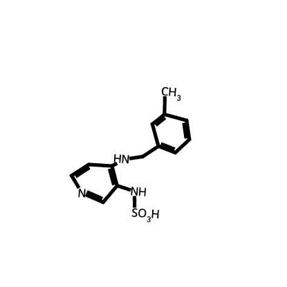 Cc1cccc(CNc2ccncc2NS(=O)(=O)O)c1